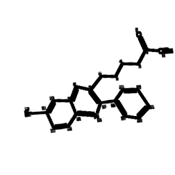 CC(C)COC(=O)CCCCc1cc2cc(Br)ccc2nc1-c1ccccc1